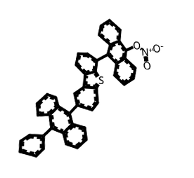 O=[N+]([O-])Oc1c2ccccc2c(-c2cccc3c2sc2ccc(-c4c5ccccc5c(-c5ccccc5)c5ccccc45)cc23)c2ccccc12